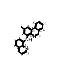 Cc1cc(Nc2cccc3cccnc23)c2ncc3ccccc3c2c1